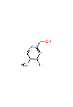 Cc1cnc(CO)cc1Cl